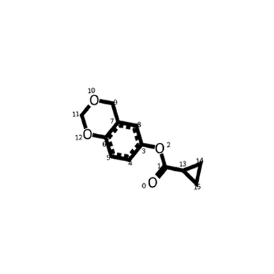 O=C(Oc1ccc2c(c1)COCO2)C1CC1